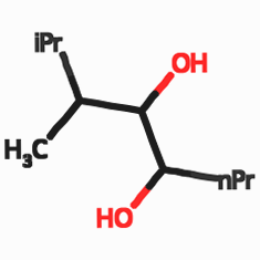 CCCC(O)C(O)C(C)C(C)C